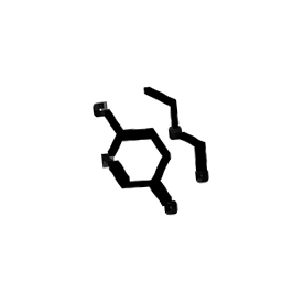 CCOC=O.O=C1C=NC(Cl)=CC1